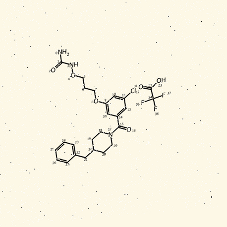 NC(=O)NOCCCOc1cc(Cl)cc(C(=O)N2CCC(Cc3ccccc3)CC2)c1.O=C(O)C(F)(F)F